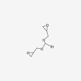 CCC(OCC1CO1)OCC1CO1